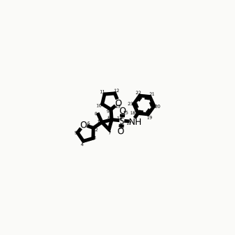 CC1(C2CCCO2)CC1(C1CCCO1)S(=O)(=O)Nc1ccccc1